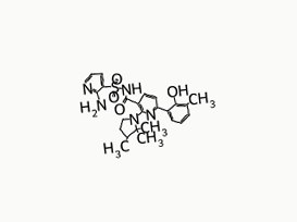 Cc1cccc(-c2ccc(C(=O)NS(=O)(=O)c3cccnc3N)c(N3CCC(C)C3(C)C)n2)c1O